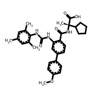 COc1ccc(-c2ccc(C(=O)N[C@](C)(C(=O)O)C3CCCC3)c(NC(=O)Nc3c(C)cc(C)cc3C)c2)cc1